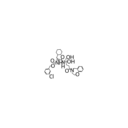 O=C(N[C@@H](CC1CCCCC1)C(=O)NC(O)(CO)CCC(=O)N1CCOc2ccccc2C1)OCc1cccc(Cl)c1